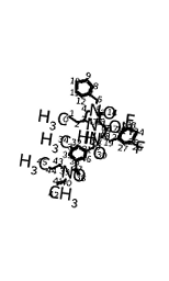 CCCC1CN(Cc2ccccc2)C(=O)[C@H]([C@@H](O)[C@H](Cc2cc(F)cc(F)c2)NC(=O)c2cc(C)cc(C(=O)N(CCC)CCC)c2)N1